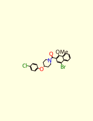 COc1c(C(=O)N2CCC(Oc3ccc(Cl)cc3)CC2)cc(Br)c2ccccc12